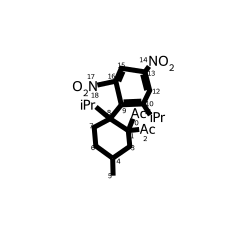 CC(=O)C1(C(C)=O)CC(C)CCC1(c1c(C(C)C)cc([N+](=O)[O-])cc1[N+](=O)[O-])C(C)C